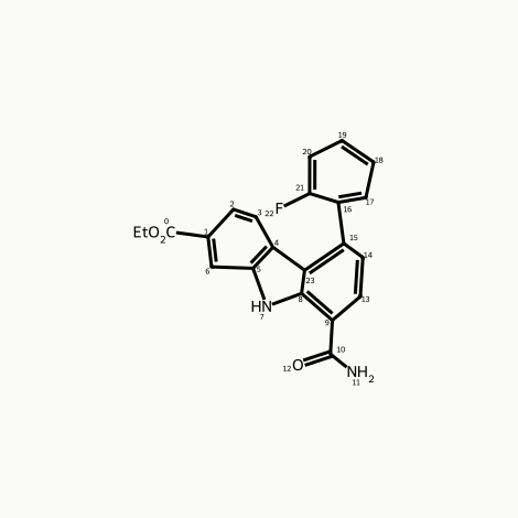 CCOC(=O)c1ccc2c(c1)[nH]c1c(C(N)=O)ccc(-c3ccccc3F)c12